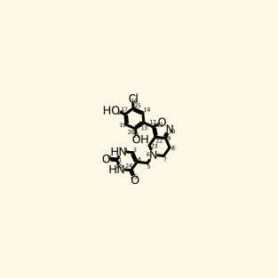 O=c1[nH]cc(CN2CCc3noc(-c4cc(Cl)c(O)cc4O)c3C2)c(=O)[nH]1